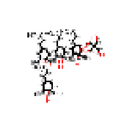 CC(C)(C)C1C=C(CCC(=O)O)C=CC1(O)C(C)(C)C.CC(C)(C)C1C=C(CCC(=O)O)C=CC1(O)C(C)(C)C.CC(C)(C)C1C=C(CCC(=O)O)C=CC1(O)C(C)(C)C.CC(C)(C)C1C=C(CCC(=O)O)C=CC1(O)C(C)(C)C.OCC(CO)(CO)CO